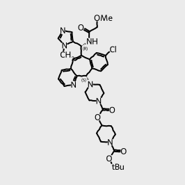 COCC(=O)N[C@H](C1=Cc2cccnc2[C@@H](N2CCN(C(=O)OC3CCN(C(=O)OC(C)(C)C)CC3)CC2)c2ccc(Cl)cc21)c1cncn1C